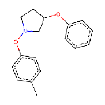 Cc1ccc(ON2CCC(Oc3ccccc3)C2)cc1